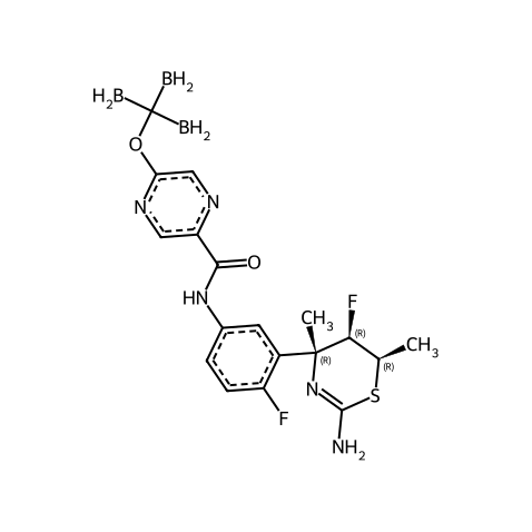 BC(B)(B)Oc1cnc(C(=O)Nc2ccc(F)c([C@@]3(C)N=C(N)S[C@H](C)[C@@H]3F)c2)cn1